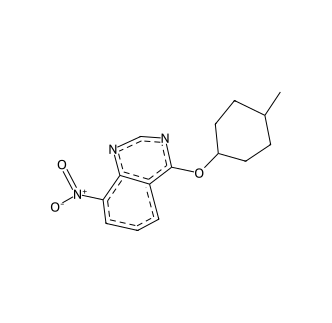 CC1CCC(Oc2ncnc3c([N+](=O)[O-])cccc23)CC1